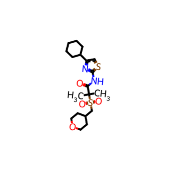 CC(C)(C(=O)Nc1nc(C2CCCCC2)cs1)S(=O)(=O)CC1CCOCC1